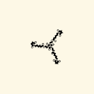 O=C(CCCCCN1C(=O)C=CC1=O)OCCn1c(=O)n(CCOC(=O)CCCCCN2C(=O)C=CC2=O)c(=O)n(CCOC(=O)CCCCCN2C(=O)C=CC2=O)c1=O